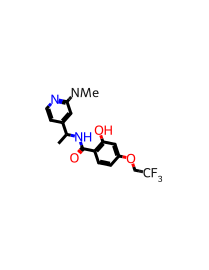 CNc1cc(C(C)NC(=O)c2ccc(OCC(F)(F)F)cc2O)ccn1